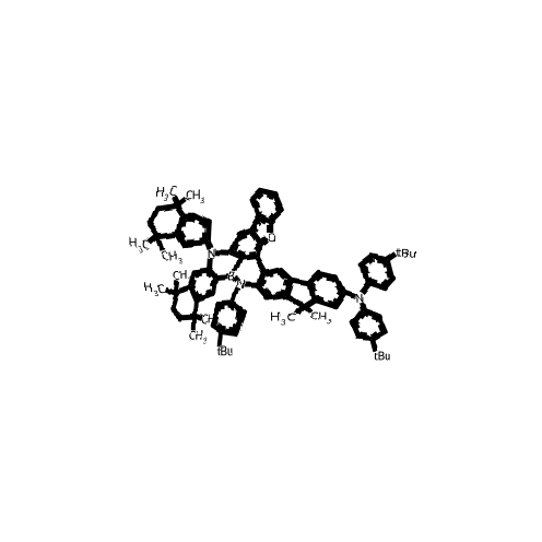 CC(C)(C)c1ccc(N2B3c4cc5c(cc4N(c4ccc6c(c4)C(C)(C)CCC6(C)C)c4cc6c(oc7ccccc76)c(c43)-c3cc4c(cc32)C(C)(C)c2cc(N(c3ccc(C(C)(C)C)cc3)c3ccc(C(C)(C)C)cc3)ccc2-4)C(C)(C)CCC5(C)C)cc1